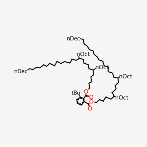 CCCCCCCCCCCCCCCCCCCCCCCCC(CCCCCCCC)CCCCC(CCCCCCCC)CCCCCOC(=O)c1cccc(C(C)(C)C)c1C(=O)OCCCCCC(CCCCCCCC)CCCCC(CCCCCCCC)CCCCCCCCCCCCCCCCCCCCCCCC